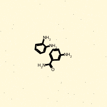 NC(=O)c1cccc(N)c1.Nc1ccccc1N